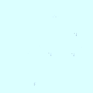 Cc1ccccc1-c1c(O)c2nonc2n(CC(F)F)c1=O